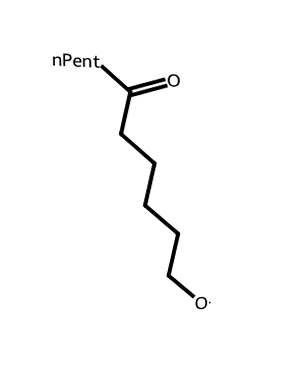 CCCCCC(=O)CCCCC[O]